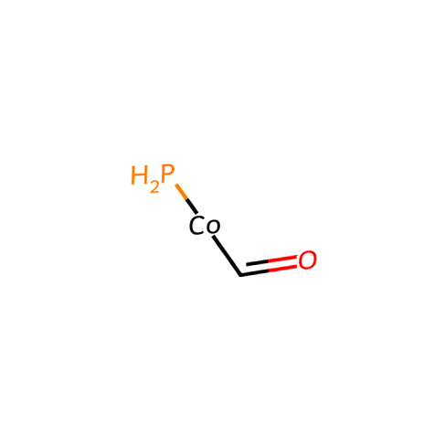 O=[CH][Co][PH2]